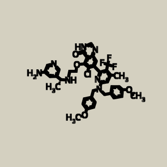 COc1ccc(CN(Cc2ccc(OC)cc2)c2cc(C)c(C(F)(F)F)c(-c3cc4nc[nH]c(=O)c4c(OCCN[C@H](C)c4cncc(N)c4)c3Cl)n2)cc1